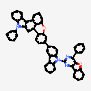 c1ccc(-c2nc(-n3c4ccccc4c4cc(-c5ccc6c(c5)Oc5cccc7c5c-6cc5c7c6ccccc6n5-c5ccccc5)ccc43)nc3c2oc2ccccc23)cc1